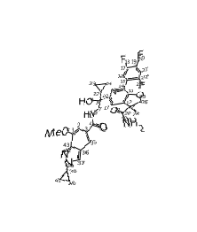 COc1cc(C(=O)NCC(O)(c2cc3c(c(-c4cc(F)c(F)cc4F)n2)OC[C@]3(C)C(N)=O)C2CC2)cc2cn(C3CC3)nc12